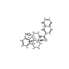 O=C(c1ccc2cccnc2n1)N1CC[C@](O)(c2ccccc2)[C@H]2CCCC[C@H]21